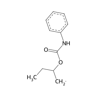 [CH2]C(CC)OC(=O)Nc1ccccc1